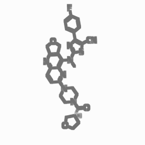 CN(c1nc(-c2ccc(F)cc2)c(C#N)s1)c1c2c(nc3ccc(N4CCN(C(=O)[C@@H]5CCOC5)CC4)nc13)COC2